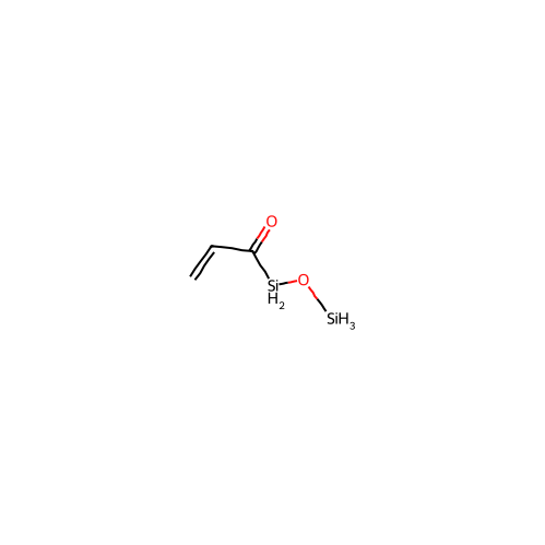 C=CC(=O)[SiH2]O[SiH3]